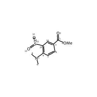 COC(=O)c1ccc(N(C)C)c([SH](=O)=O)c1